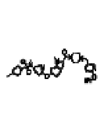 Cc1ccc(S(=O)(=O)N(C)c2ccc(Oc3ccc4cc(C(=O)N5CCN(Cc6ccc(OC(C)C)nc6)CC5)n(C)c4c3)nc2)cc1